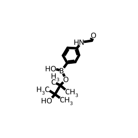 CC(C)(O)C(C)(C)OB(O)c1ccc(NC=O)cc1